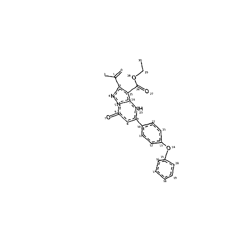 C=C(C)c1nn2c(=O)cc(-c3ccc(Oc4ccccc4)cc3)[nH]c2c1C(=O)OCC